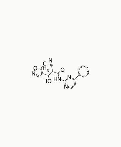 Cc1oncc1C(O)C(C#N)C(=O)Nc1nccc(-c2ccccc2)n1